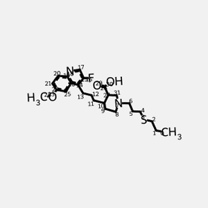 CCCSCCCN1CCC(CCCc2c(F)cnc3ccc(OC)cc23)C(C(=O)O)C1